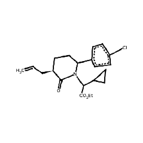 C=CC[C@H]1CCC(c2ccc(Cl)cc2)N(C(C(=O)OCC)C2CC2)C1=O